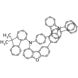 CC1(C)c2ccccc2-c2c(N(c3ccc(-c4ccc(-c5ccccc5)cc4)cc3)c3cccc4oc5ccc(-c6ccc7c(c6)c6ccccc6n7-c6ccccc6)cc5c34)cccc21